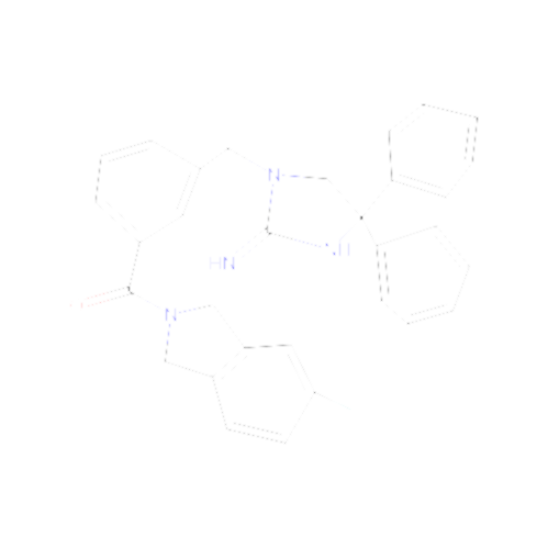 N=C1NC(c2ccccc2)(c2ccccc2)CN1Cc1cccc(C(=O)N2Cc3ccc(F)cc3C2)c1